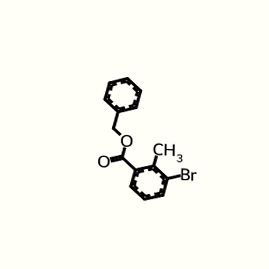 Cc1c(Br)cccc1C(=O)OCc1ccccc1